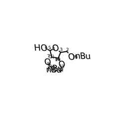 CCCCOCC1OC(O)[C@@H](OCCCC)[C@@H]1OCCCC